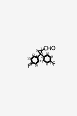 O=CC1CC1(c1ccc(F)cc1)c1ccc(F)cc1